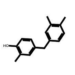 Cc1ccc(Cc2ccc(O)c(C)c2)cc1C